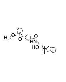 COCC1CCCCN1C(=O)c1ccc(C(=O)NCC(O)CNC2Cc3ccccc3C2)cc1